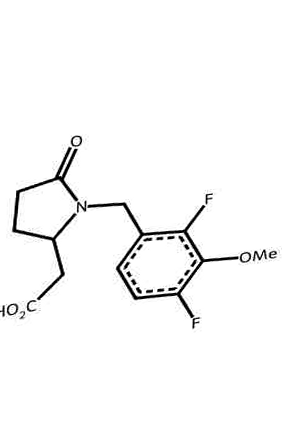 COc1c(F)ccc(CN2C(=O)CCC2CC(=O)O)c1F